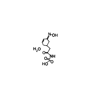 O.O=C(CC1CC=CC(=NO)C1)NS(=O)(=O)O